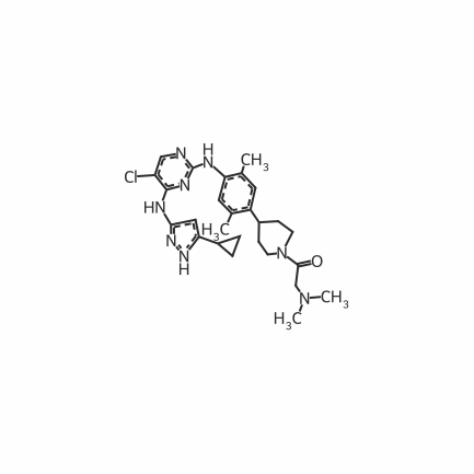 Cc1cc(C2CCN(C(=O)CN(C)C)CC2)c(C)cc1Nc1ncc(Cl)c(Nc2cc(C3CC3)[nH]n2)n1